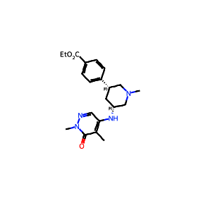 CCOC(=O)c1ccc([C@H]2C[C@@H](Nc3cnn(C)c(=O)c3C)CN(C)C2)cc1